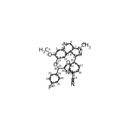 COc1cc2ncc3c(c(-c4ccc(C#N)cc4)nn3C)c2cc1O[C@@H](C(N)=O)c1ccc(F)cc1